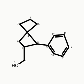 OCC1CC2(CCC2)C1c1ccccc1